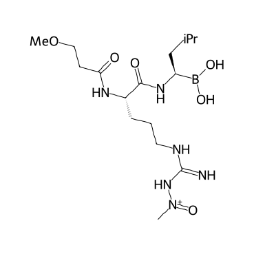 COCCC(=O)N[C@@H](CCCNC(=N)N[N+](C)=O)C(=O)N[C@@H](CC(C)C)B(O)O